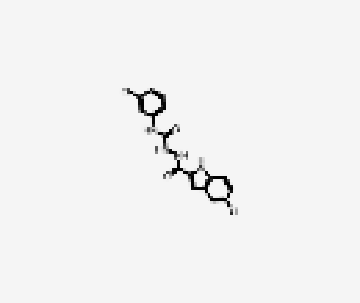 O=C(NNC(=O)c1cc2cc(Cl)ccc2[nH]1)Nc1cccc(Cl)c1